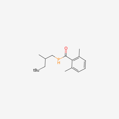 Cc1cccc(C)c1C(=O)PCC(C)CC(C)(C)C